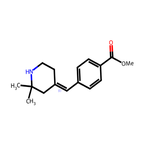 COC(=O)c1ccc(/C=C2\CCNC(C)(C)C2)cc1